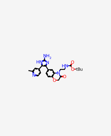 Cc1cc(-c2[nH]c(N)nc2-c2ccc3c(c2)N(CCNC(=O)OC(C)(C)C)C(=O)CO3)ccn1